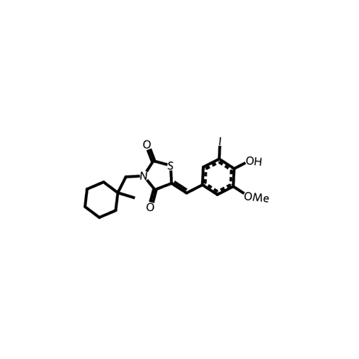 COc1cc(/C=C2\SC(=O)N(CC3(C)CCCCC3)C2=O)cc(I)c1O